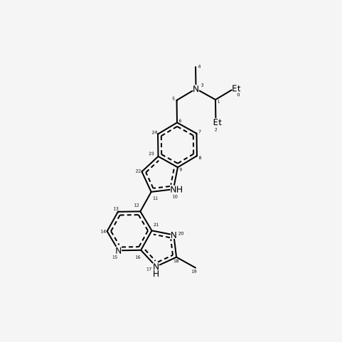 CCC(CC)N(C)Cc1ccc2[nH]c(-c3ccnc4[nH]c(C)nc34)cc2c1